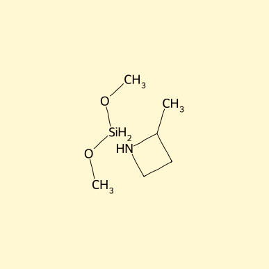 CC1CCN1.CO[SiH2]OC